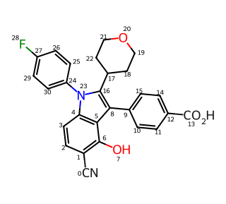 N#Cc1ccc2c(c1O)c(-c1ccc(C(=O)O)cc1)c(C1CCOCC1)n2-c1ccc(F)cc1